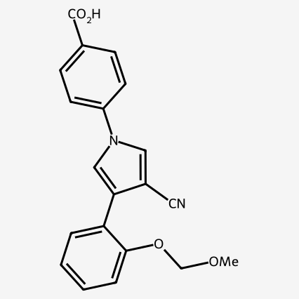 COCOc1ccccc1-c1cn(-c2ccc(C(=O)O)cc2)cc1C#N